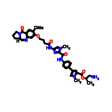 COc1cc2c(cc1OCCCC(=O)Nc1cn(C)c(C(=O)Nc3ccc(-c4cc(C(=O)O[C@H](C)CN)n(C)c4)cc3)n1)N=C[C@@H]1CCCN1C2=O